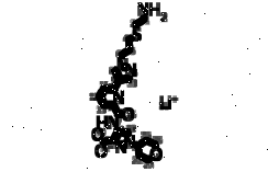 NCCSCCCn1cc(-c2cccc(C(=O)Nc3cn(C4CCOCC4)nc3C(=O)[O-])n2)cn1.[Li+]